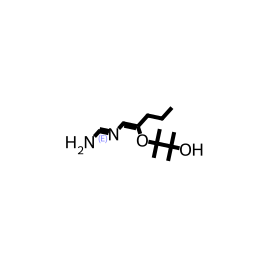 CCCC(=C/N=C/N)OC(C)(C)C(C)(C)O